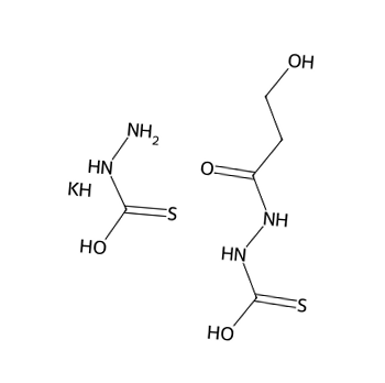 NNC(O)=S.O=C(CCO)NNC(O)=S.[KH]